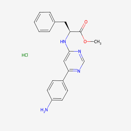 COC(=O)[C@H](Cc1ccccc1)Nc1cc(-c2ccc(N)cc2)ncn1.Cl